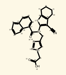 N#Cc1c(N(Cc2cn(CC(=O)O)nn2)C(=O)c2cccc3ccccc23)sc2c1CCCC2